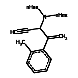 C#CC(C(=C)c1ccccc1C)N(CCCCCC)CCCCCC